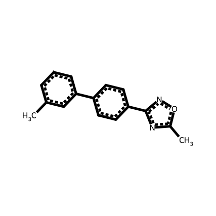 Cc1c[c]cc(-c2ccc(-c3noc(C)n3)cc2)c1